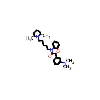 C[C@@H]1CCC[C@H](C)N1CCCCCN1C(=O)C(c2cccc(N(C)C)c2)Oc2ccccc21